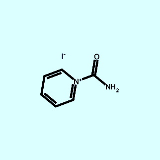 NC(=O)[n+]1ccccc1.[I-]